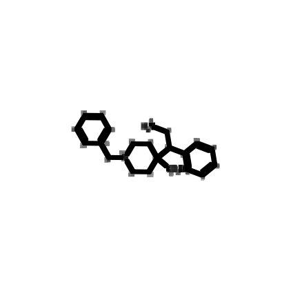 CCOC(=O)C1(C(CN)c2ccccc2)CCN(Cc2ccccc2)CC1